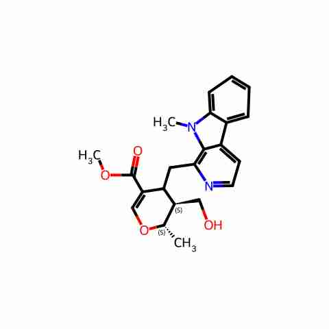 COC(=O)C1=CO[C@@H](C)[C@H](CO)C1Cc1nccc2c3ccccc3n(C)c12